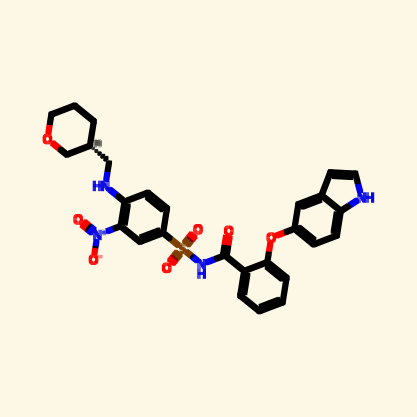 O=C(NS(=O)(=O)c1ccc(NC[C@H]2CCCOC2)c([N+](=O)[O-])c1)c1ccccc1Oc1ccc2[nH]ccc2c1